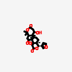 CC1(C)OC(=O)CC(O)C2(C)C1CC(=O)C1(C)C2CC[C@@]2(C)[C@H](c3ccoc3)OC(=O)C3OC312